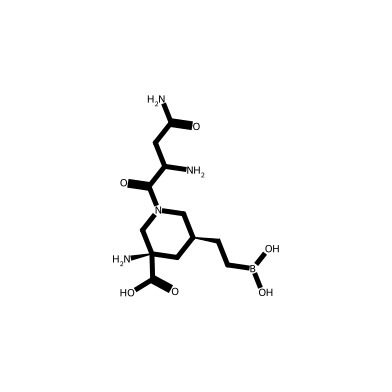 NC(=O)CC(N)C(=O)N1C[C@@H](CCB(O)O)C[C@](N)(C(=O)O)C1